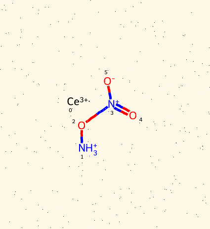 [Ce+3].[NH3+]O[N+](=O)[O-]